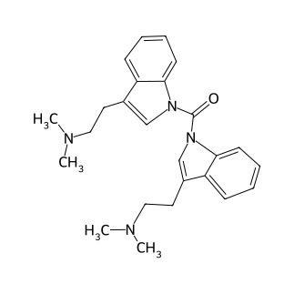 CN(C)CCc1cn(C(=O)n2cc(CCN(C)C)c3ccccc32)c2ccccc12